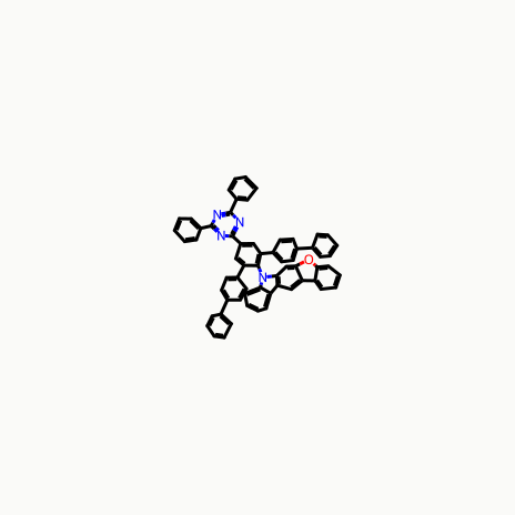 c1ccc(-c2ccc(-c3cc(-c4nc(-c5ccccc5)nc(-c5ccccc5)n4)cc(-c4ccc(-c5ccccc5)cc4)c3-n3c4ccccc4c4cc5c(cc43)oc3ccccc35)cc2)cc1